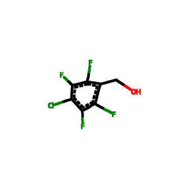 OCc1c(F)c(F)c(Cl)c(F)c1F